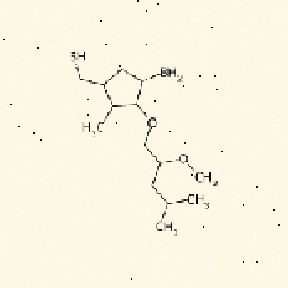 BC1CC(CS)C(C)C1OCC(CC(C)C)OC